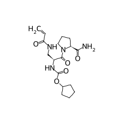 C=CC(=O)NC[C@H](NC(=O)OC1CCCC1)C(=O)N1CCC[C@H]1C(N)=O